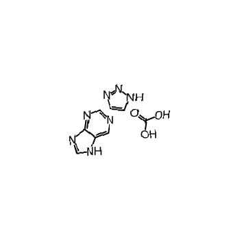 O=C(O)O.c1c[nH]nn1.c1ncc2[nH]cnc2n1